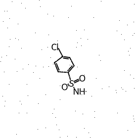 [NH]S(=O)(=O)c1ccc(Cl)cc1